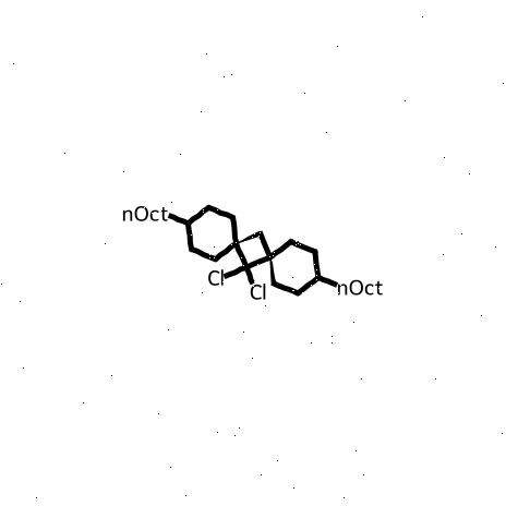 CCCCCCCCC1CC[C@]2(CC1)C[C@@]1(CCC(CCCCCCCC)CC1)C2(Cl)Cl